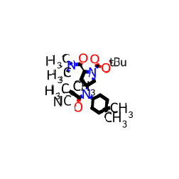 CN(C)C(=O)[C@@H]1C[C@H](N(C(=O)C(C)(C)C#N)C2CCC(C)(C)CC2)CN1C(=O)OC(C)(C)C